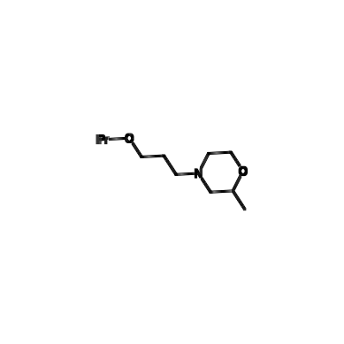 CC(C)OCCCN1CCOC(C)C1